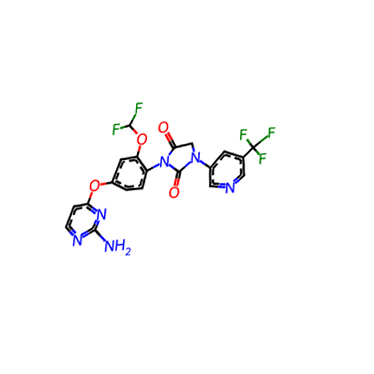 Nc1nccc(Oc2ccc(N3C(=O)CN(c4cncc(C(F)(F)F)c4)C3=O)c(OC(F)F)c2)n1